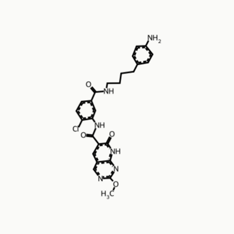 COc1ncc2cc(C(=O)Nc3cc(C(=O)NCCCCc4ccc(N)cc4)ccc3Cl)c(=O)[nH]c2n1